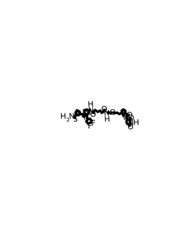 NC(=S)c1cccc(-c2cn(C3CCC(F)(F)CC3)c3cc(NC(=O)CCCCC(=O)NCCOCCCc4cccc5c4CN(C4CCC(=O)NC4=O)C5=O)ccc23)c1